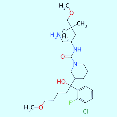 COCCCCC(O)(c1cccc(Cl)c1F)C1CCCN(C(=O)NC(CN)CC(C)(C)COC)C1